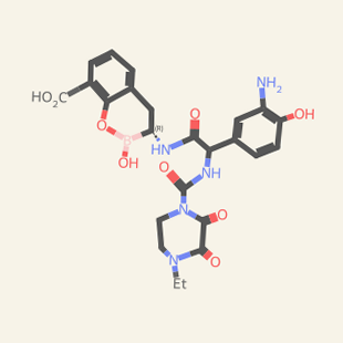 CCN1CCN(C(=O)NC(C(=O)N[C@H]2Cc3cccc(C(=O)O)c3OB2O)c2ccc(O)c(N)c2)C(=O)C1=O